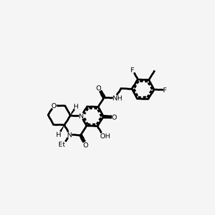 CCN1C(=O)c2c(O)c(=O)c(C(=O)NCc3ccc(F)c(C)c3F)cn2[C@H]2COCC[C@H]21